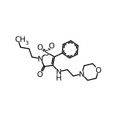 CCCCN1C(=O)C(NCCN2CCOCC2)=C(c2ccccc2)S1(=O)=O